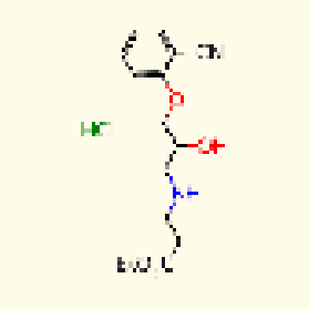 CCOC(=O)CCNCC(O)COc1ccccc1C#N.Cl